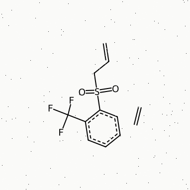 C=C.C=CCS(=O)(=O)c1ccccc1C(F)(F)F